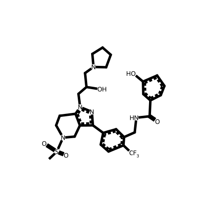 CS(=O)(=O)N1CCc2c(c(-c3ccc(C(F)(F)F)c(CNC(=O)c4cccc(O)c4)c3)nn2CC(O)CN2CCCC2)C1